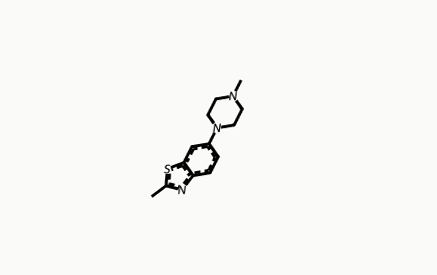 Cc1nc2ccc(N3CCN(C)CC3)cc2s1